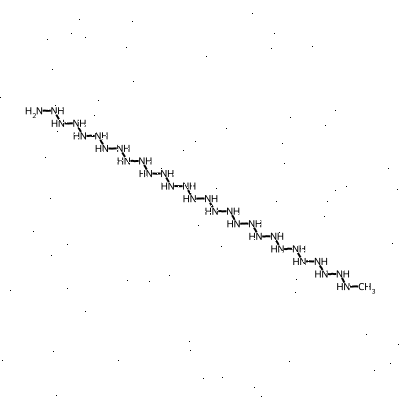 CNNNNNNNNNNNNNNNNNNNNNNNNNNNNN